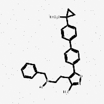 CCOC(=O)C1(c2ccc(-c3ccc(-c4onc(C)c4CCN(Cc4ccccc4)C(C)=O)cc3)cc2)CC1